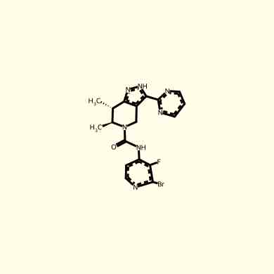 C[C@@H]1c2n[nH]c(-c3ncccn3)c2CN(C(=O)Nc2ccnc(Br)c2F)[C@H]1C